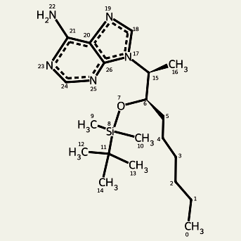 CCCCCC[C@@H](O[Si](C)(C)C(C)(C)C)[C@H](C)n1cnc2c(N)ncnc21